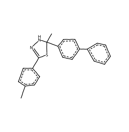 Cc1ccc(C2=NNC(C)(c3ccc(-c4ccccc4)cc3)S2)cc1